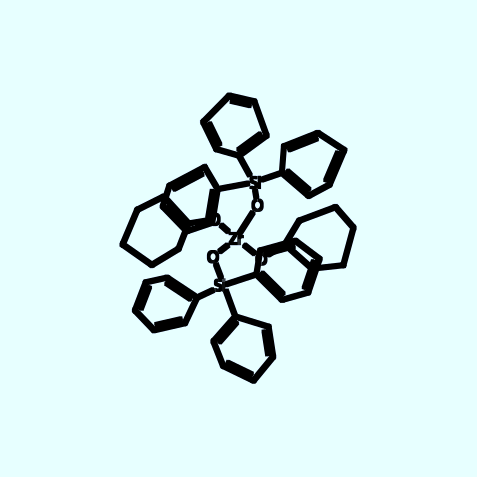 c1ccc([Si]([O][Zr]([O]C2CCCCC2)([O]C2CCCCC2)[O][Si](c2ccccc2)(c2ccccc2)c2ccccc2)(c2ccccc2)c2ccccc2)cc1